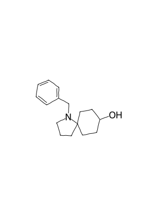 OC1CCC2(CCCN2Cc2ccccc2)CC1